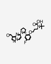 CC(C)(C)N(CCCOc1ccc(F)cc1[C@H]1CCCN1c1ccn2ncc(C=O)c2n1)C(=O)O